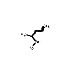 [CH]=CCC(C)NC